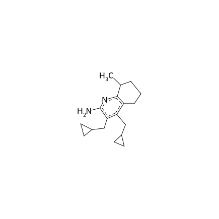 CC1CCCc2c1nc(N)c(CC1CC1)c2CC1CC1